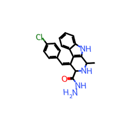 CC1NC(C(=O)NN)C(=Cc2ccc(Cl)cc2)c2c1[nH]c1ccccc21